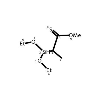 CCO[SiH](OCC)C(C)C(=S)OC